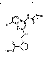 CC(C)(C)OC(=O)Nc1cc(NC[C@@H]2CCCN2C(=O)OC(C)(C)C)nc2c(Br)cnn12